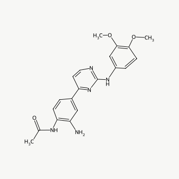 COc1ccc(Nc2nccc(-c3ccc(NC(C)=O)c(N)c3)n2)cc1OC